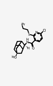 CC(C)CCSc1nc(Cl)ccc1C(=O)N[C@H]1C2CC3CC1C[C@@](O)(C3)C2